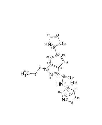 CCCn1nc(C(=O)N[C@@H]2CN3CCC2CC3)c2ccc(-c3ncco3)cc21